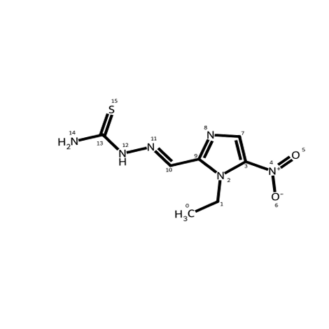 CCn1c([N+](=O)[O-])cnc1/C=N/NC(N)=S